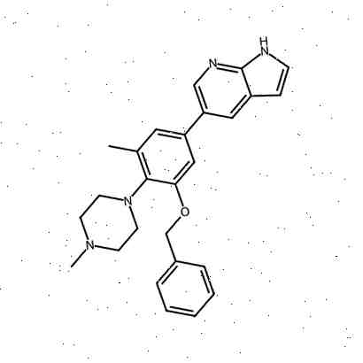 Cc1cc(-c2cnc3[nH]ccc3c2)cc(OCc2ccccc2)c1N1CCN(C)CC1